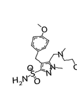 COCCN(C)Cc1c(Cc2ccc(OC)cc2)c(S(N)(=O)=O)nn1C